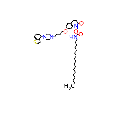 CCCCCCCCCCCCCCCCCCNC(=O)OCN1C(=O)CCc2ccc(OCCCCN3CCN(c4cccc5sccc45)CC3)cc21